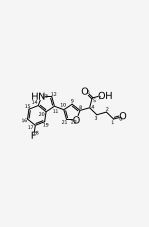 O=CCCC(C(=O)O)c1cc(-c2c[nH]c3ccc(F)cc23)co1